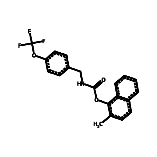 Cc1ccc2ccccc2c1OC(=O)NCc1ccc(OC(F)(F)F)cc1